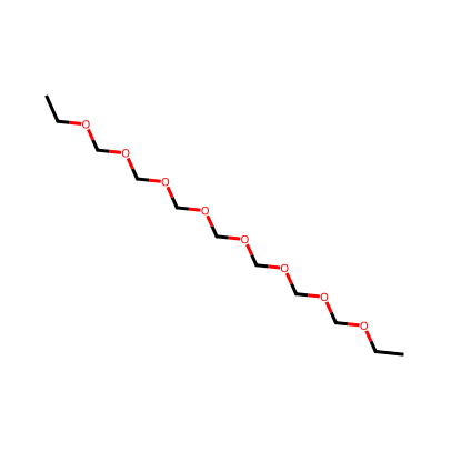 CCOCOCOCOCOCOCOCOCC